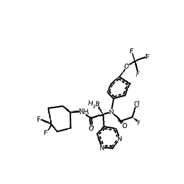 B[C@](C(=O)NC1CCC(F)(F)CC1)(c1cncnc1)N(C(=O)[C@H](F)Cl)c1ccc(OC(F)(F)F)cc1